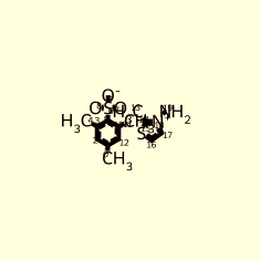 Cc1cc(C)c(S(=O)(=O)[O-])c(C)c1.Cc1scc[n+]1N